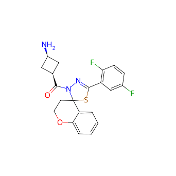 N[C@H]1C[C@@H](C(=O)N2N=C(c3cc(F)ccc3F)SC23CCOc2ccccc23)C1